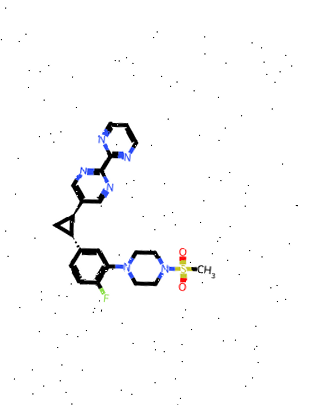 CS(=O)(=O)N1CCN(c2cc([C@@H]3C[C@H]3c3cnc(-c4ncccn4)nc3)ccc2F)CC1